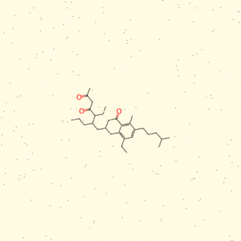 CCCC(CC1CC(=O)c2c(C)c(CCCC(C)C)cc(CC)c2C1)C(CC)C(=O)CC(C)=O